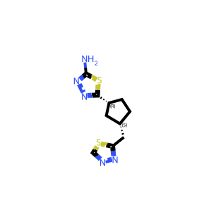 Nc1nnc([C@@H]2CC[C@H](Cc3nncs3)C2)s1